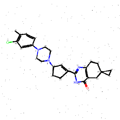 Cc1ccc(N2CCN([C@H]3C=C(c4nc5c(c(=O)[nH]4)CC4(CC5)CC4)CC3)CC2)cc1Cl